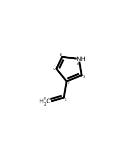 C=Cc1[c][nH]cc1